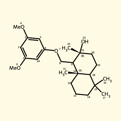 COc1cc(OC)cc(OCC2[C@@]3(C)CCCC(C)(C)C3CC[C@@]2(C)O)c1